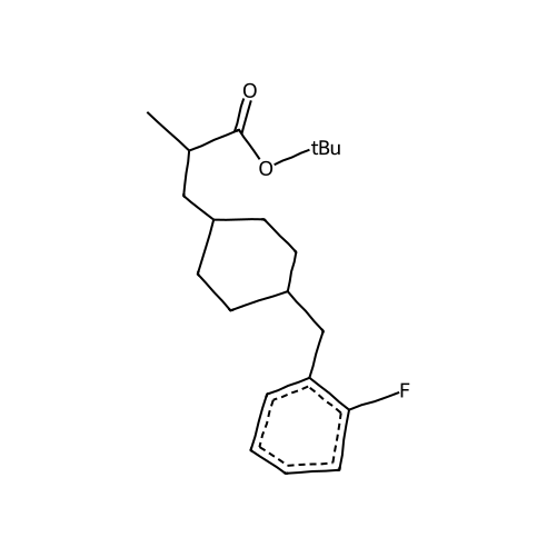 CC(CC1CCC(Cc2ccccc2F)CC1)C(=O)OC(C)(C)C